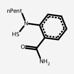 CCCCCN(S)c1ccccc1C(N)=O